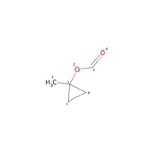 CC1(OC=O)CC1